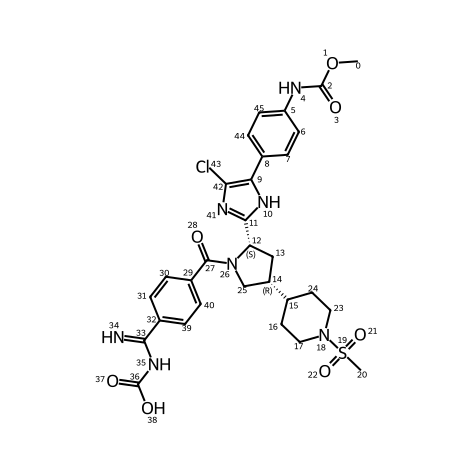 COC(=O)Nc1ccc(-c2[nH]c([C@@H]3C[C@H](C4CCN(S(C)(=O)=O)CC4)CN3C(=O)c3ccc(C(=N)NC(=O)O)cc3)nc2Cl)cc1